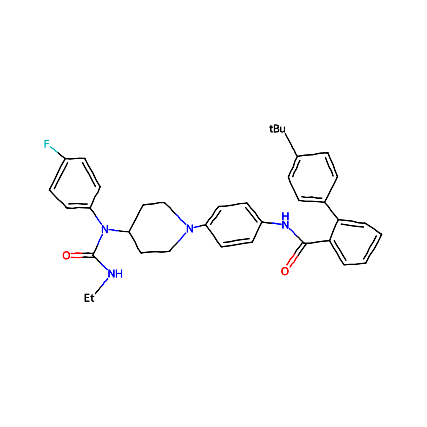 CCNC(=O)N(c1ccc(F)cc1)C1CCN(c2ccc(NC(=O)c3ccccc3-c3ccc(C(C)(C)C)cc3)cc2)CC1